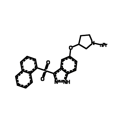 CCCN1CCC(Oc2ccc3[nH]nc(S(=O)(=O)c4cccc5ccccc45)c3c2)C1